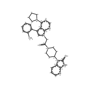 Cc1ccccc1-c1cn(CC(=O)N2CCC(n3c(=O)[nH]c4ncccc43)CC2)c2ncnc(N3CCCC3)c12